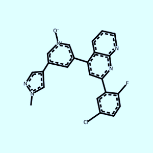 Cn1cc(-c2cc(-c3cc(-c4cc(Cl)ccc4F)nc4ncccc34)c[n+]([O-])c2)cn1